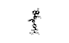 CC(C)NC(=O)c1cnc(N2CC(CC#N)(n3cc(-c4ncnc5[nH]ccc45)c(N)n3)C2)cn1